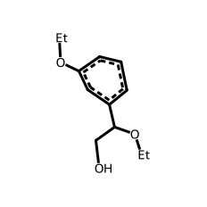 CCOc1cccc(C(CO)OCC)c1